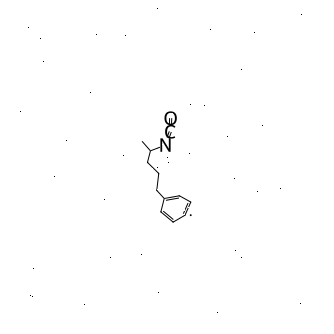 CC(CCCc1cc[c]cc1)N=C=O